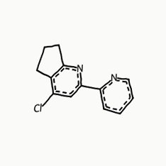 Clc1cc(-c2ccccn2)nc2c1CCC2